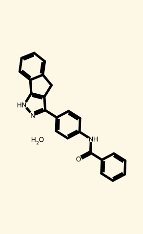 O.O=C(Nc1ccc(-c2n[nH]c3c2Cc2ccccc2-3)cc1)c1ccccc1